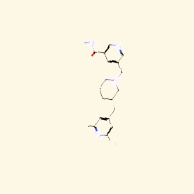 CNC(=O)c1cncc(CN2CCC[C@H](Cc3cc(C)nc(C)c3)C2)c1